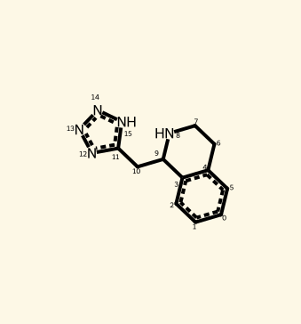 c1ccc2c(c1)CCNC2Cc1nnn[nH]1